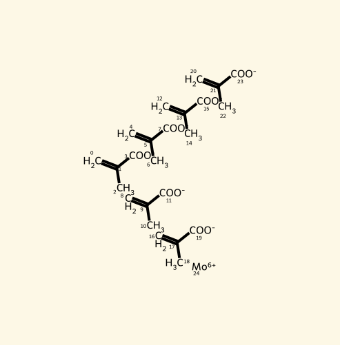 C=C(C)C(=O)[O-].C=C(C)C(=O)[O-].C=C(C)C(=O)[O-].C=C(C)C(=O)[O-].C=C(C)C(=O)[O-].C=C(C)C(=O)[O-].[Mo+6]